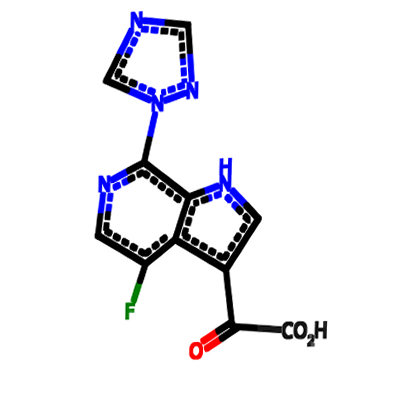 O=C(O)C(=O)c1c[nH]c2c(-n3cncn3)ncc(F)c12